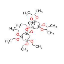 CCO[Si]1(OCC)C[Si](OCC)(OCC)C[Si](OCC)(O[Si]2(OCC)C[Si](OCC)(OCC)C[Si](OCC)(OCC)C2)C1